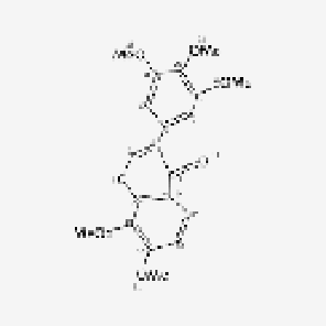 COc1cc(-c2coc3c(OC)c(OC)ccc3c2=O)cc(OC)c1OC